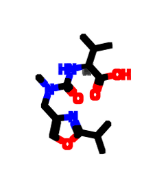 CC(C)c1nc(CN(C)C(=O)N[C@H](C(=O)O)C(C)C)co1